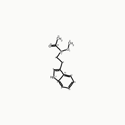 CON(CCc1c[nH]c2ccccc12)C(C)=O